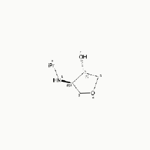 CC(C)N[C@@H]1COC[C@H]1O